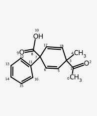 CC(=O)C1(C)C=CC(C(=O)O)(c2ccccc2)C=C1